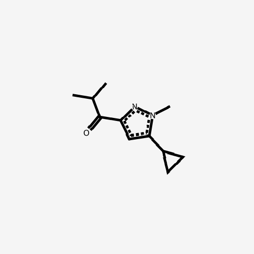 CC(C)C(=O)c1cc(C2CC2)n(C)n1